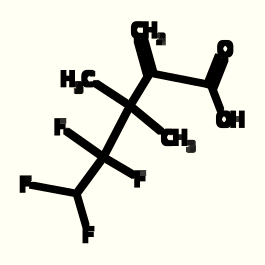 C=C(C(=O)O)C(C)(C)C(F)(F)C(F)F